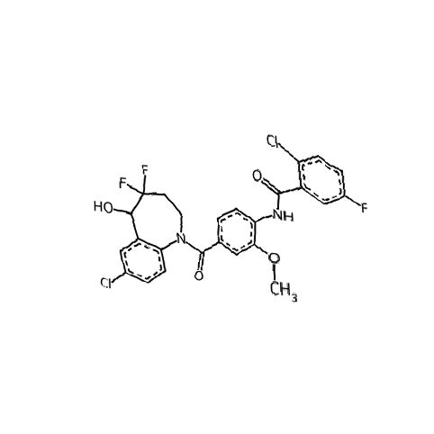 COc1cc(C(=O)N2CCC(F)(F)C(O)c3cc(Cl)ccc32)ccc1NC(=O)c1cc(F)ccc1Cl